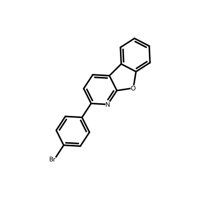 Brc1ccc(-c2ccc3c(n2)oc2ccccc23)cc1